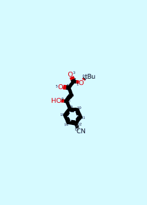 CC(C)(C)OC(=O)C(=O)C=C(O)c1ccc(C#N)cc1